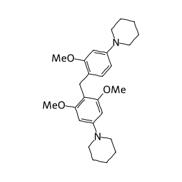 COc1cc(N2CCCCC2)ccc1Cc1c(OC)cc(N2CCCCC2)cc1OC